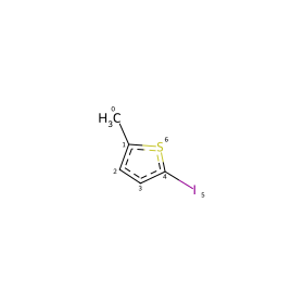 Cc1ccc(I)s1